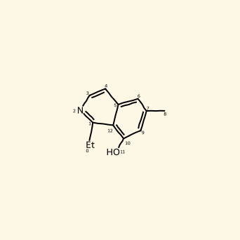 CCc1nccc2cc(C)cc(O)c12